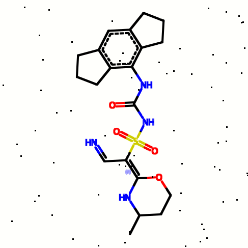 CC1CCO/C(=C(/C=N)S(=O)(=O)NC(=O)Nc2c3c(cc4c2CCC4)CCC3)N1